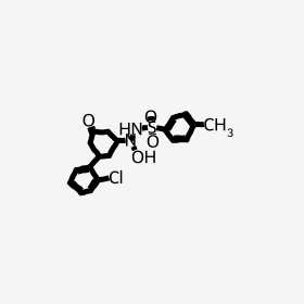 Cc1ccc(S(=O)(=O)NN(O)C2CC(=O)CC(c3ccccc3Cl)C2)cc1